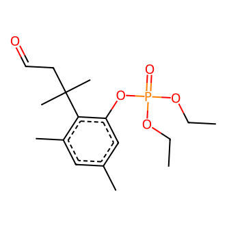 CCOP(=O)(OCC)Oc1cc(C)cc(C)c1C(C)(C)CC=O